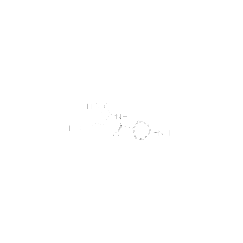 Nc1ccc(C(=O)NC(CCC(=O)O)C(=O)O)cc1